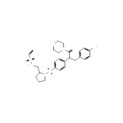 C=CS(=O)(=O)NCC1CCCN1S(=O)(=O)c1ccc(C(Cc2ccc(C(F)(F)F)cc2)C(=O)N2CCOCC2)cc1